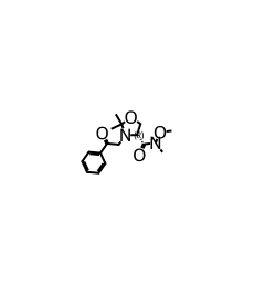 CON(C)C(=O)[C@H]1COC(C)(C)N1CC(=O)c1ccccc1